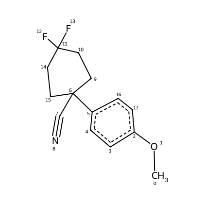 COc1ccc(C2(C#N)CCC(F)(F)CC2)cc1